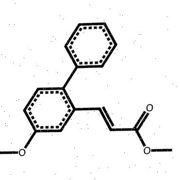 COC(=O)C=Cc1cc(OC)ccc1-c1ccccc1